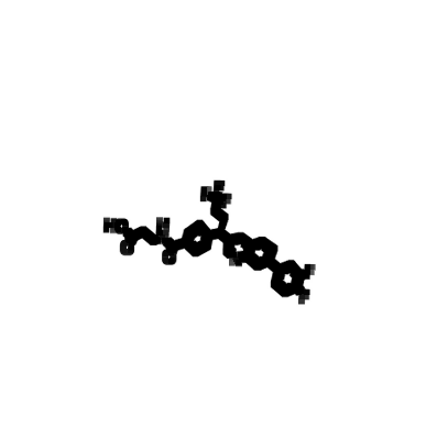 O=C(O)CCNC(=O)c1ccc([C@@H](CCC(F)(F)F)c2cnc3cc(-c4ccc(F)c(F)c4)ccc3c2)cc1